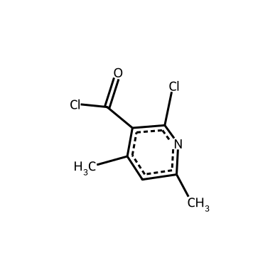 Cc1cc(C)c(C(=O)Cl)c(Cl)n1